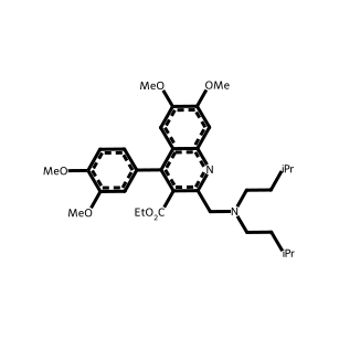 CCOC(=O)c1c(CN(CCC(C)C)CCC(C)C)nc2cc(OC)c(OC)cc2c1-c1ccc(OC)c(OC)c1